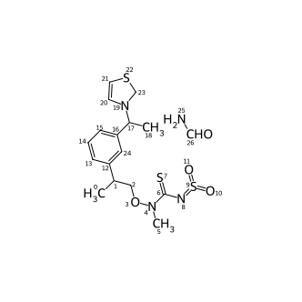 CC(CON(C)C(=S)N=S(=O)=O)c1cccc(C(C)N2C=CSC2)c1.NC=O